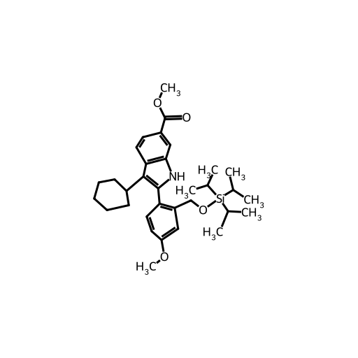 COC(=O)c1ccc2c(C3CCCCC3)c(-c3ccc(OC)cc3CO[Si](C(C)C)(C(C)C)C(C)C)[nH]c2c1